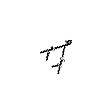 CCCCCOC(CCC(=O)OCCCCCCCC(CCCCCCCOC(=O)CCC(OCCCCC)OCCCCC)NCC1CCN(C)CC1)OCCCCC